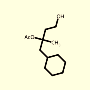 CC(=O)OC(C)(CCO)CC1CCCCC1